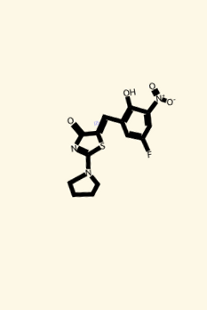 O=C1N=C(N2CCCC2)S/C1=C\c1cc(F)cc([N+](=O)[O-])c1O